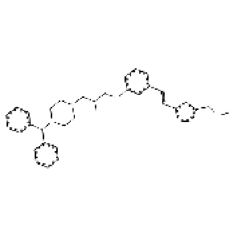 COCc1cc(C=Cc2cccc(OCC(O)CN3CCN(C(c4ccccc4)c4ccccc4)CC3)c2)on1